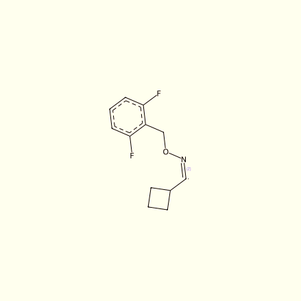 Fc1cccc(F)c1CO/N=[C]\C1CCC1